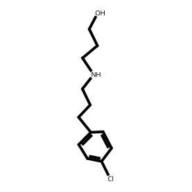 OCCCNCCCc1ccc(Cl)cc1